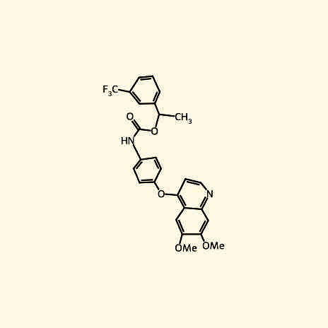 COc1cc2nccc(Oc3ccc(NC(=O)OC(C)c4cccc(C(F)(F)F)c4)cc3)c2cc1OC